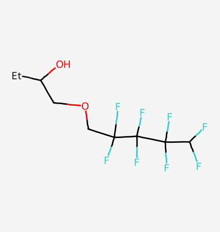 CCC(O)COCC(F)(F)C(F)(F)C(F)(F)C(F)F